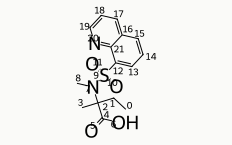 CCC(C)(C(=O)O)N(C)S(=O)(=O)c1cccc2cccnc12